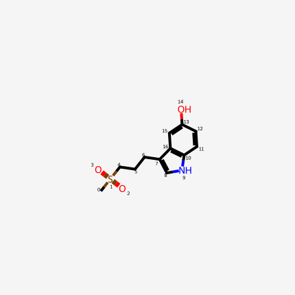 CS(=O)(=O)CCCc1c[nH]c2ccc(O)cc12